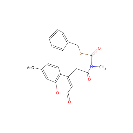 CC(=O)Oc1ccc2c(CC(=O)N(C)C(=O)SCc3ccccc3)cc(=O)oc2c1